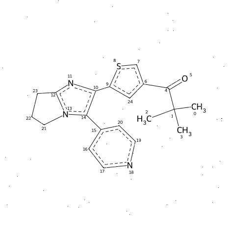 CC(C)(C)C(=O)c1csc(-c2nc3n(c2-c2ccncc2)CCC3)c1